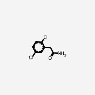 NC(=O)Cc1cc(Cl)ccc1Cl